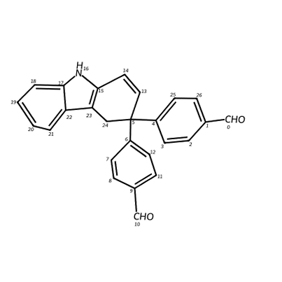 O=Cc1ccc(C2(c3ccc(C=O)cc3)C=Cc3[nH]c4ccccc4c3C2)cc1